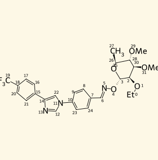 CCO[C@H]1[C@H](O/N=C/c2ccc(-n3cnc(-c4ccc(C(F)(F)F)cc4)c3)cc2)O[C@@H](C)[C@H](OC)[C@H]1OC